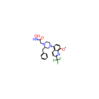 COc1ccc(N2CCN(CC(=O)NO)C(Cc3ccccc3)C2)c2ccc(C(F)(F)F)nc12